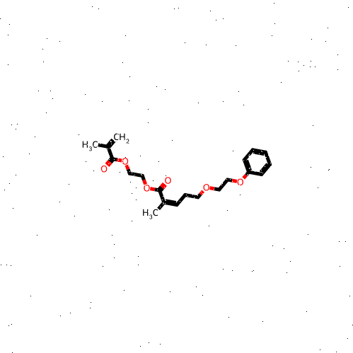 C=C(C)C(=O)OCCOC(=O)C(C)=CCCOCCOc1ccccc1